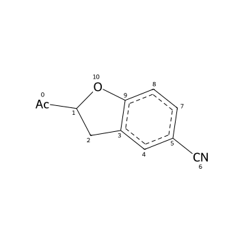 CC(=O)C1Cc2cc(C#N)ccc2O1